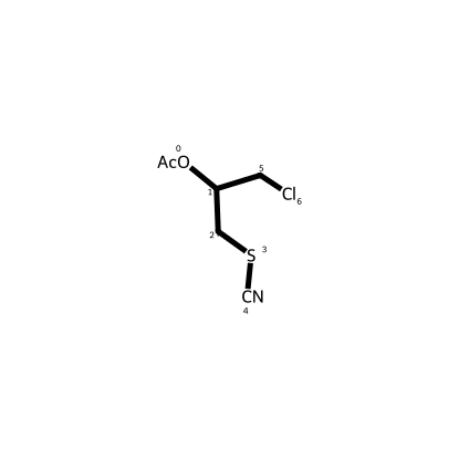 CC(=O)OC([CH]SC#N)CCl